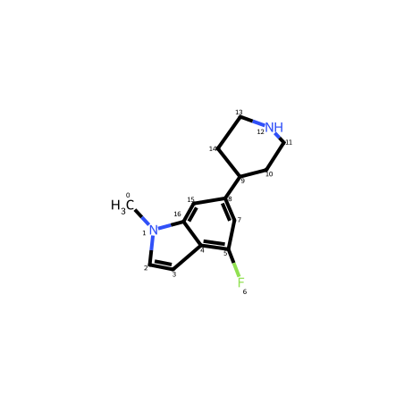 Cn1ccc2c(F)cc(C3CCNCC3)cc21